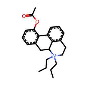 CCC[N+]1(CCC)CCc2cccc3c2C1Cc1cccc(OC(C)=O)c1-3